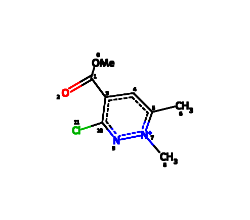 COC(=O)c1cc(C)[n+](C)nc1Cl